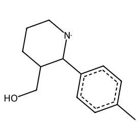 Cc1ccc(C2[N]CCCC2CO)cc1